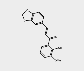 COc1cccc(C(=O)C=Cc2ccc3c(c2)OCO3)c1O